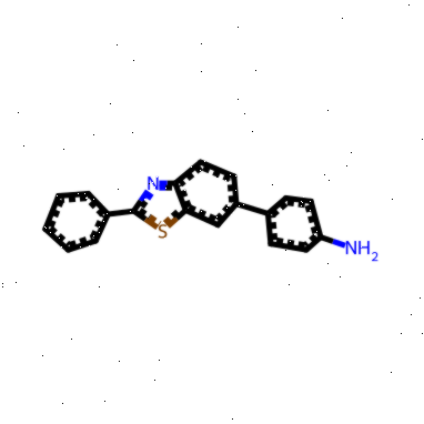 Nc1ccc(-c2ccc3nc(-c4ccccc4)sc3c2)cc1